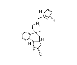 O=C1C[C@@H]2CC3(CCN(C[C@@H]4C[C@H]5C=C[C@H]4C5)CC3)c3ccccc3[C@@H]2N1